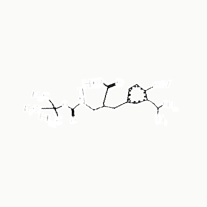 CC(C)c1cc(CC(CNC(=O)OC(C)(C)C)C(=O)O)ccc1O